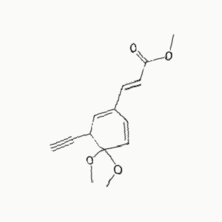 C#CC1C=C(C=CC(=O)OC)C=CC1(OC)OC